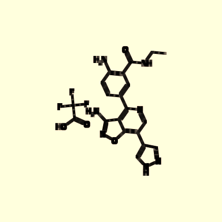 CCNC(=O)c1cc(-c2ncc(-c3cn[nH]c3)c3onc(N)c23)ccc1N.O=C(O)C(F)(F)F